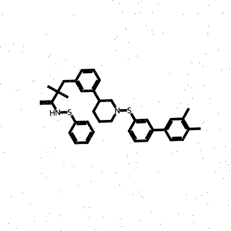 C=C(NSc1ccccc1)C(C)(C)Cc1cccc(C2CCCN(Sc3cccc(-c4ccc(C)c(C)c4)c3)C2)c1